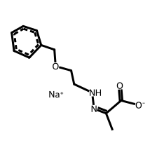 C/C(=N/NCCOCc1ccccc1)C(=O)[O-].[Na+]